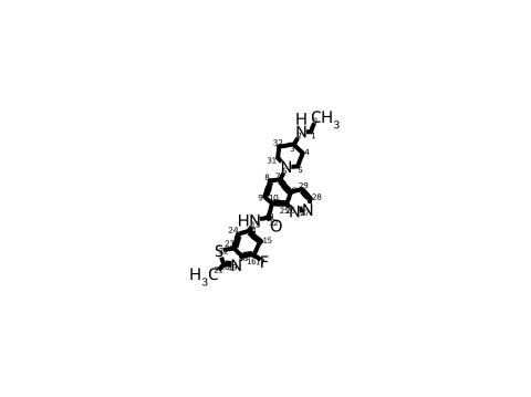 CCNC1CCN(c2ccc(C(=O)Nc3cc(F)c4nc(C)sc4c3)c3nnccc23)CC1